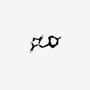 O=C1CSC(=O)N1Cc1ccc(F)cc1